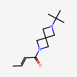 C/C=C/C(=O)N1CC2(C1)CN(C(C)(C)C)C2